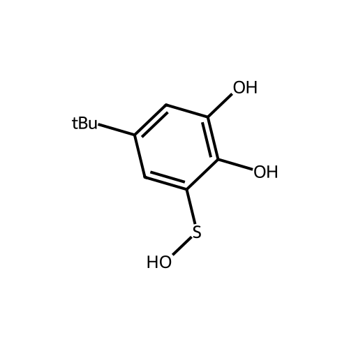 CC(C)(C)c1cc(O)c(O)c(SO)c1